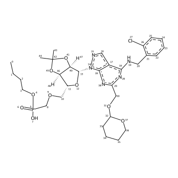 CCCCOP(=O)(O)COC[C@H]1O[C@@H](n2ncc3c(NCc4ccccc4Cl)nc(COC4CCCCO4)nc32)[C@@H]2OC(C)(C)O[C@@H]21